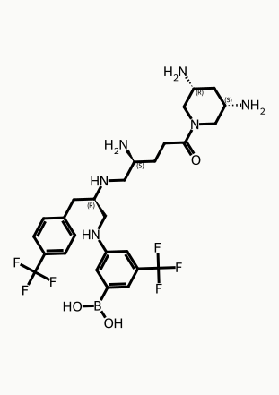 N[C@@H]1C[C@H](N)CN(C(=O)CC[C@H](N)CN[C@@H](CNc2cc(B(O)O)cc(C(F)(F)F)c2)Cc2ccc(C(F)(F)F)cc2)C1